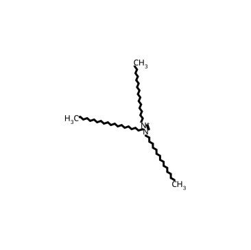 CCCCCCCCCCCCCCCCCCCc1n(CCCCCCCCCCCCCCCCC)cc[n+]1CCCCCCCCCCCCCCCCCC